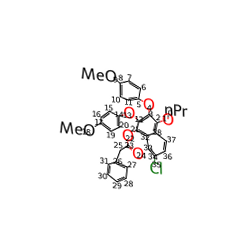 CCCOc1c(Oc2ccc(OC)cc2)c(Oc2ccc(OC)cc2)c(OC(=O)Cc2ccccc2)c2cc(Cl)ccc12